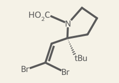 CC(C)(C)[C@@]1(C=C(Br)Br)CCCN1C(=O)O